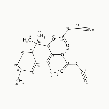 CC1=C(OC(=O)CC#N)C(OC(=O)CC#N)C(C)(C)C2CCC(C)C=C12